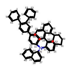 c1ccc(-c2ccc(-c3ccc(N(c4ccccc4-c4cccc5cccc(C6CCCCC6)c45)c4cccc5ccccc45)cc3)cc2-c2ccccc2)cc1